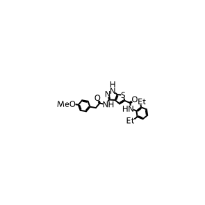 CCc1cccc(CC)c1NC(=O)c1cc2c(NC(=O)Cc3ccc(OC)cc3)n[nH]c2s1